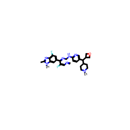 C=N/C=C(F)\C(=N/CNc1ccc(C(C2CCN(CC)CC2)C2COC2)cn1)c1cc(F)c2nc(C)n(C(C)C)c2c1